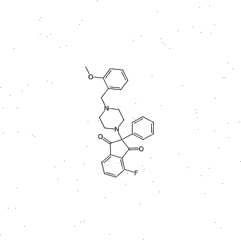 COc1ccccc1CN1CCN(C2(c3ccccc3)C(=O)c3cccc(F)c3C2=O)CC1